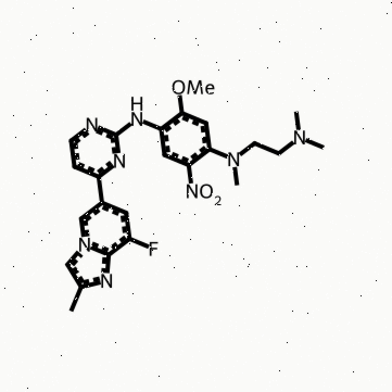 COc1cc(N(C)CCN(C)C)c([N+](=O)[O-])cc1Nc1nccc(-c2cc(F)c3nc(C)cn3c2)n1